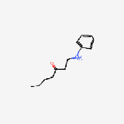 CCCCC(=O)CCNc1ccccc1